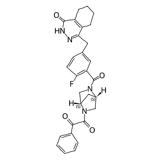 O=C(C(=O)N1C[C@@H]2C[C@H]1CN2C(=O)c1cc(Cc2n[nH]c(=O)c3c2CCCC3)ccc1F)c1ccccc1